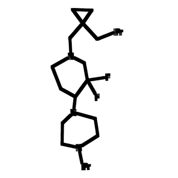 CC(C)CC1(CN2CCC(N3CCN(C(C)C)CC3)C(F)(F)C2)CC1